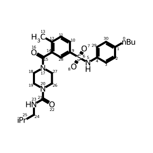 CCCCc1ccc(NS(=O)(=O)c2ccc(C)c(C(=O)N3CCN(C(=O)NCC(C)C)CC3)c2)cc1